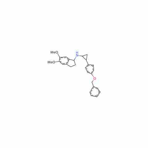 COc1cc2c(cc1OC)C(NC1CC1c1ccc(OCc3ccccc3)cc1)CC2